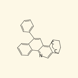 c1ccc(-c2cc3c4c(cnc3c3ccccc23)C2CCCC4CC2)cc1